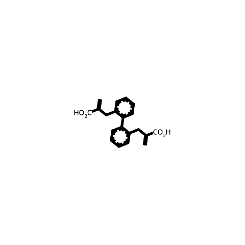 C=C(Cc1ccccc1-c1ccccc1CC(=C)C(=O)O)C(=O)O